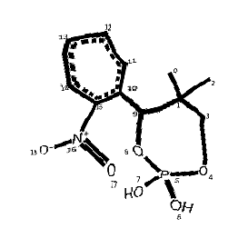 CC1(C)CO[P](O)(O)OC1c1ccccc1[N+](=O)[O-]